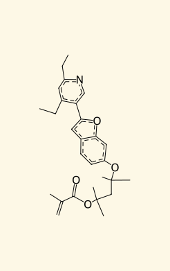 C=C(C)C(=O)OC(C)(C)CC(C)(C)Oc1ccc2cc(-c3cnc(CC)cc3CC)oc2c1